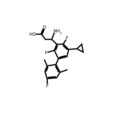 Cc1cc(F)cc(C)c1-c1cc(C2CC2)c(F)c(C(N)CC(=O)O)c1F